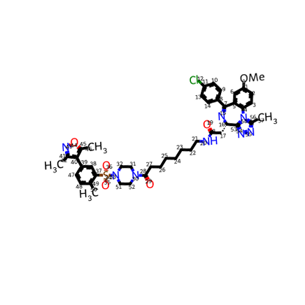 COc1ccc2c(c1)C(c1ccc(Cl)cc1)=N[C@@H](CC(=O)NCCCCCCCC(=O)N1CCN(S(=O)(=O)c3cc(-c4c(C)noc4C)ccc3C)CC1)c1nnc(C)n1-2